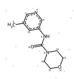 Cc1cncc(NC(=O)N2CCOCC2)c1